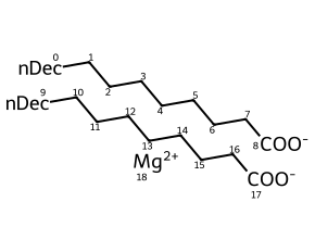 CCCCCCCCCCCCCCCCCC(=O)[O-].CCCCCCCCCCCCCCCCCC(=O)[O-].[Mg+2]